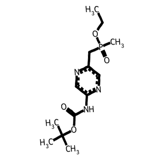 CCOP(C)(=O)Cc1cnc(NC(=O)OC(C)(C)C)cn1